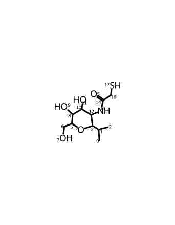 CC(C)C1OC(CO)C(O)C(O)C1NC(=O)CS